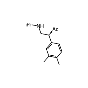 CC(=O)[C@H](CNC(C)C)c1ccc(C)c(C)c1